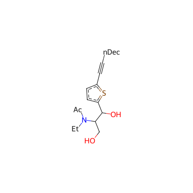 CCCCCCCCCCC#Cc1ccc(C(O)C(CO)N(CC)C(C)=O)s1